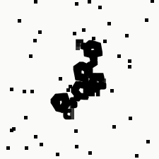 Fc1cccc(Cc2cccc(C3(c4ccsc4)CCC(Sc4ccccc4Cl)CN3)n2)c1